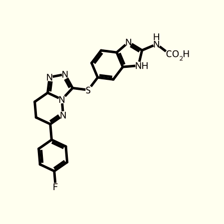 O=C(O)Nc1nc2ccc(Sc3nnc4n3N=C(c3ccc(F)cc3)CC4)cc2[nH]1